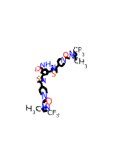 Cc1cc(C(F)(F)F)nn1CC(=O)N1CCC(c2csc(-c3cc(C(N)=O)cc(-c4nc(C5CCN(C(=O)Cn6nc(C(F)(F)F)cc6C)CC5)cs4)c3)n2)CC1